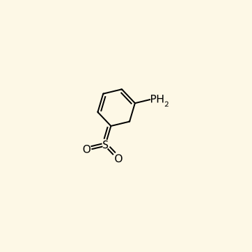 O=S(=O)=C1C=CC=C(P)C1